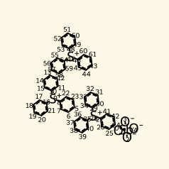 [O]=[Sb]([O-])([O-])[O-].c1ccc([S+](c2ccccc2)c2ccccc2)cc1.c1ccc([S+](c2ccccc2)c2ccccc2)cc1.c1ccc([S+](c2ccccc2)c2ccccc2)cc1